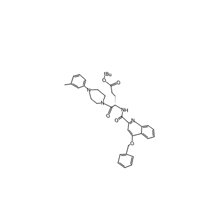 Cc1cccc(N2CCN(C(=O)[C@H](CCC(=O)OC(C)(C)C)NC(=O)c3cc(OCc4ccccc4)c4ccccc4n3)CC2)c1